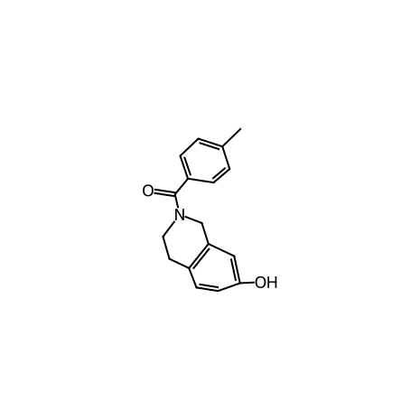 Cc1ccc(C(=O)N2CCc3ccc(O)cc3C2)cc1